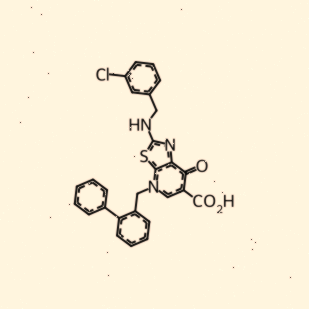 O=C(O)c1cn(Cc2ccccc2-c2ccccc2)c2sc(NCc3cccc(Cl)c3)nc2c1=O